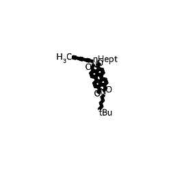 CC#CC#CC#CC(CCCCCCC)N1C(=O)c2ccc3c4ccc5c6c(ccc(c7ccc(c2c37)C1=O)c64)C(=O)N(CCCCCCC(C)(C)C)C5=O